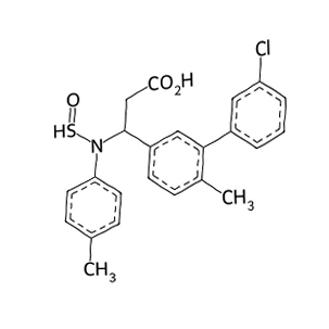 Cc1ccc(N([SH]=O)C(CC(=O)O)c2ccc(C)c(-c3cccc(Cl)c3)c2)cc1